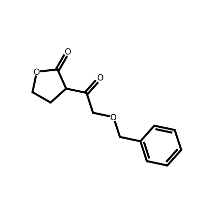 O=C(COCc1ccccc1)C1CCOC1=O